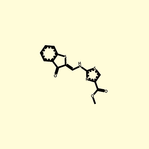 COC(=O)c1csc(NC=C2Sc3ccccc3C2=O)n1